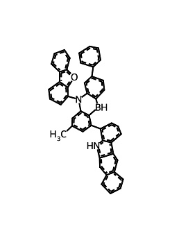 Cc1cc(-c2cccc3c2[nH]c2cc4ccccc4cc23)c2c(c1)N(c1cccc3c1oc1ccccc13)c1cc(-c3ccccc3)ccc1B2